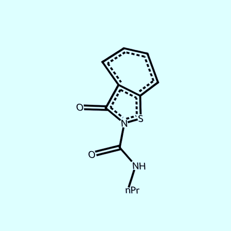 CCCNC(=O)n1sc2ccccc2c1=O